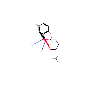 CN1C(=O)C2(N=C1N)c1cc(Br)ccc1O[C@]21CC[C@@H](OC(F)F)CC1